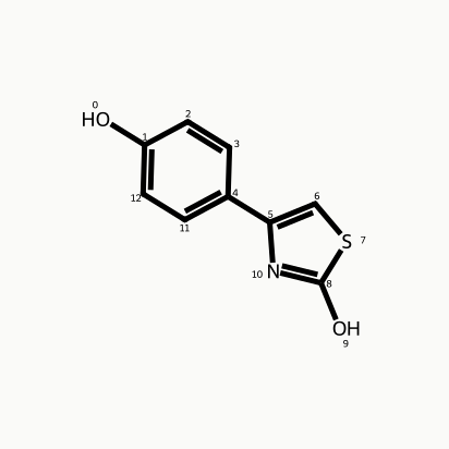 Oc1ccc(-c2csc(O)n2)cc1